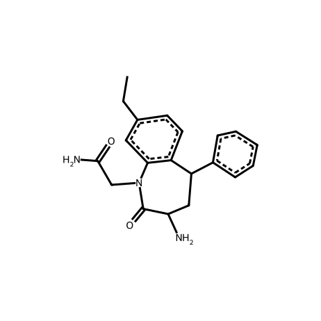 CCc1ccc2c(c1)N(CC(N)=O)C(=O)C(N)CC2c1ccccc1